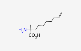 C=CCCCCCCC(C)(N)C(=O)O